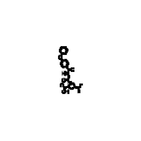 O=C(NCC(=O)N1CC(=C(F)F)CC1C(=O)O)c1ccc(Oc2ccccc2)cc1